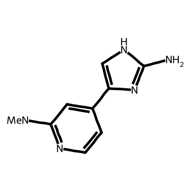 CNc1cc(-c2c[nH]c(N)n2)ccn1